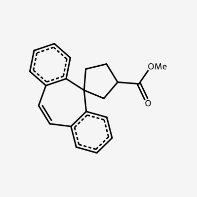 COC(=O)C1CCC2(C1)c1ccccc1C=Cc1ccccc12